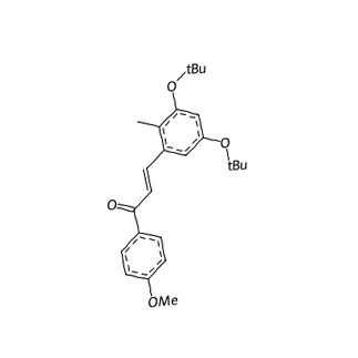 COc1ccc(C(=O)/C=C/c2cc(OC(C)(C)C)cc(OC(C)(C)C)c2C)cc1